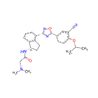 CC(C)Oc1ccc(-c2nc(-c3cccc4c3CC[C@@H]4NC(=O)CN(C)C)no2)cc1C#N